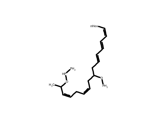 CCCCCC\C=C/C=C/C=C/CC(C/C=C\C/C=C\C(C)OPP)OP